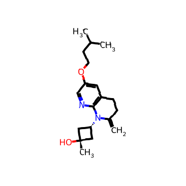 C=C1CCc2cc(OCCC(C)C)cnc2N1[C@H]1C[C@@](C)(O)C1